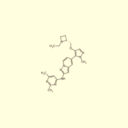 CCN1CC[C@@H]1COc1cnn(C)c1-c1ccn2nc(Nc3cc(C)nc(C)n3)cc2c1